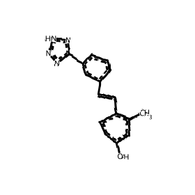 Cc1cc(O)ccc1/C=C/c1cccc(-c2nn[nH]n2)c1